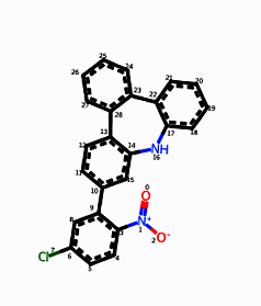 O=[N+]([O-])c1ccc(Cl)cc1-c1ccc2c(c1)Nc1ccccc1-c1ccccc1-2